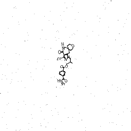 CCc1nn(CC(C)COC(=O)c2ccc(C(=O)NC(C)C)cc2)c2c1C(=O)NCC1(CCOCC1)C2